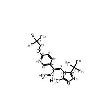 C=N/C(=C\n1c(C)nnc1C(F)(F)F)c1ccc(OCC(F)(F)F)nc1